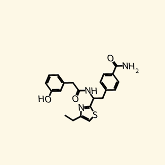 CCc1csc(C(Cc2ccc(C(N)=O)cc2)NC(=O)Cc2cccc(O)c2)n1